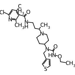 CCONC(=O)N(Cc1ccsc1)C1CCN(C(C)CCNC(=O)c2c(C)cc(Cl)nc2C)CC1